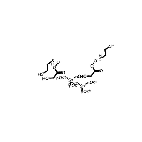 CCCCCCC[CH2][Sn+]([CH2]CCCCCCC)[CH2]CCCCCCC.CCCCCCC[CH2][Sn+]([CH2]CCCCCCC)[CH2]CCCCCCC.O=C(CO)O[O-].O=C(CO)O[O-].SCCS.SCCS